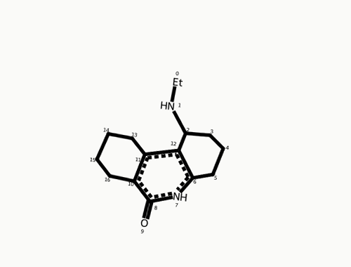 CCNC1CCCc2[nH]c(=O)c3c(c21)CCCC3